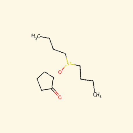 CCCC[S+]([O-])CCCC.O=C1CCCC1